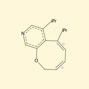 CC(C)/C1=C/C=C\COc2cncc(C(C)C)c21